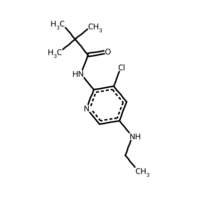 CCNc1cnc(NC(=O)C(C)(C)C)c(Cl)c1